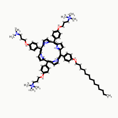 CCCCCCCCCCCCCCOc1ccc(-c2c3nc(c(-c4ccc(OCCC[N+](C)(C)C)cc4)c4ccc([nH]4)c(-c4ccc(OCCCN(C)C)cc4)c4nc(c(-c5ccc(OCCC[N+](C)(C)C)cc5)c5ccc2[nH]5)C=C4)C=C3)cc1